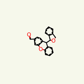 O=Cc1ccc2c(c1)Oc1ccccc1C2C1OCc2ccccc21